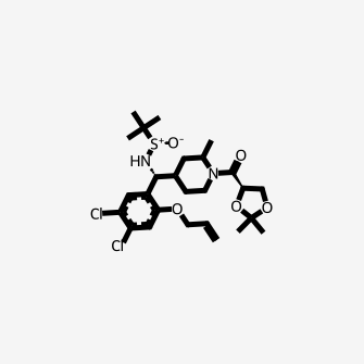 C=CCOc1cc(Cl)c(Cl)cc1[C@H](N[S@@+]([O-])C(C)(C)C)C1CCN(C(=O)[C@H]2COC(C)(C)O2)C(C)C1